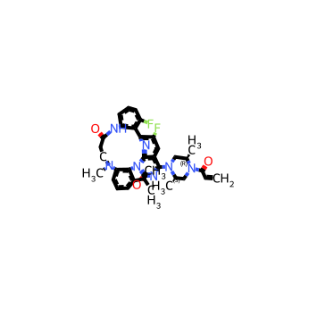 C=CC(=O)N1C[C@H](C)N(c2nc(=O)n3c4nc(c(F)cc24)-c2c(F)cccc2NC(=O)CCN(C)c2cccc(C(C)C)c2-3)C[C@H]1C